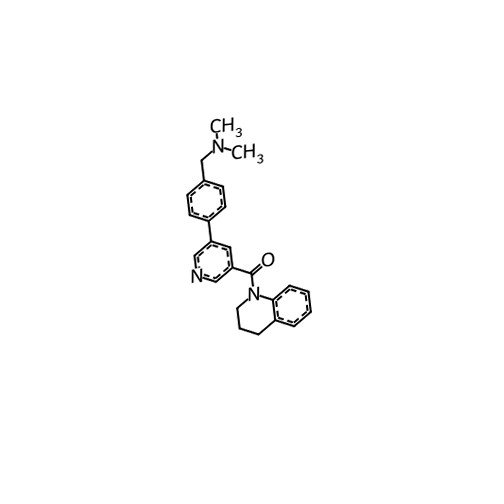 CN(C)Cc1ccc(-c2cncc(C(=O)N3CCCc4ccccc43)c2)cc1